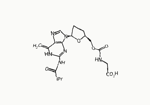 C=C1NC(NC(=O)C(C)C)=Nc2c1ncn2[C@H]1CC[C@@H](COC(=O)NCC(=O)O)O1